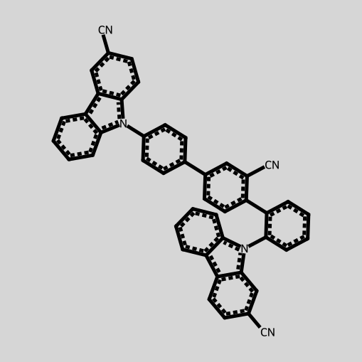 N#Cc1ccc2c(c1)c1ccccc1n2-c1ccc(-c2ccc(-c3ccccc3-n3c4ccccc4c4ccc(C#N)cc43)c(C#N)c2)cc1